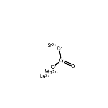 [La+3].[Mn+2].[O]=[Cr]([O-])[O-].[Sr+2]